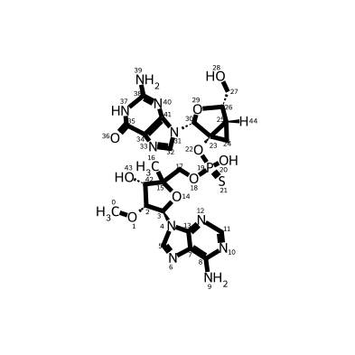 CO[C@H]1[C@H](n2cnc3c(N)ncnc32)OC(C)(COP(O)(=S)O[C@@]23C[C@H]2[C@@H](CO)O[C@H]3n2cnc3c(=O)[nH]c(N)nc32)[C@H]1O